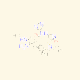 CCNc1ccc(C(CC(=O)Nc2cncnc2)c2ccc(C)c(CN3C[C@@H](CC)Oc4ncccc4S3)c2)c(C)c1N